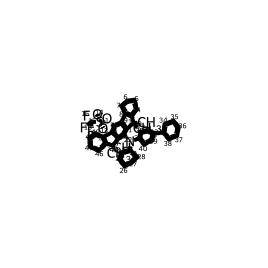 CC1(C)c2ccccc2-c2c(OS(=O)(=O)C(F)(F)F)c3c(c(N(c4ccccc4)c4ccc(-c5ccccc5)cc4)c21)C(C)(C)c1ccccc1-3